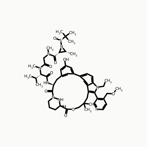 CCn1c(-c2cnccc2COC)c2c3cc(ccc31)-c1cc(O)cc(c1)C[C@H](NC(=O)[C@H](C(C)C)N(C)C(=O)CN(C)C(=O)[C@H]1[C@@H](C)N1[S+]([O-])C(C)(C)C)C(=O)N1CCC[C@H](N1)C(=O)OCC(C)(C)C2